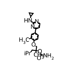 Cc1cc(-c2ccnc(NC3CC3)n2)ccc1OCC(C)(CC(C)C)OC(N)=O